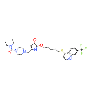 CCN(CC)C(=O)N1CCN(CC2=CC(=O)C(OCCCCCSc3ccnc4cc(C(F)(F)F)ccc34)=N2)CC1